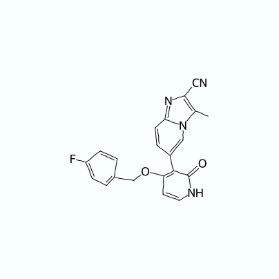 Cc1c(C#N)nc2ccc(-c3c(OCc4ccc(F)cc4)cc[nH]c3=O)cn12